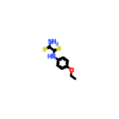 CCOc1ccc(NC(=S)C(N)=S)cc1